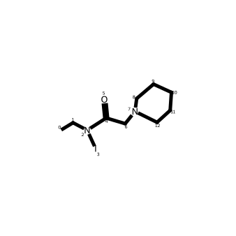 CCN(I)C(=O)CN1CCCCC1